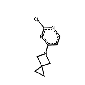 Clc1nccc(N2CC3(CC3)C2)n1